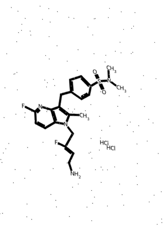 Cc1c(Cc2ccc(S(=O)(=O)N(C)C)cc2)c2nc(F)ccc2n1CC(F)=CCN.Cl.Cl